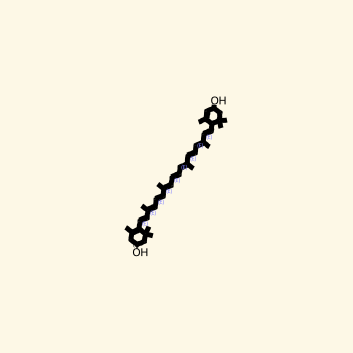 CC1=CC(O)CC(C)(C)C1/C=C/C(C)=C/C=C/C(C)=C/C=C/C=C(C)/C=C/C=C(C)/C=C/C1=C(C)C[C@@H](O)CC1(C)C